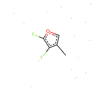 Cc1coc(F)c1F